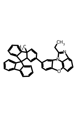 CCc1nc2cccc3c2n1-c1cc(C2=CC4C(C)(C=C2)c2ccccc2C42c4ccccc4-c4ccccc42)ccc1O3